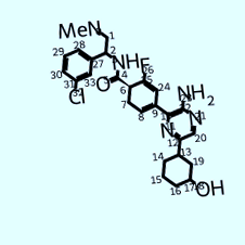 CNCC(NC(=O)[C@@H]1CC=C(c2nc(C3CCCC(O)C3)cnc2N)C=C1F)c1cccc(Cl)c1